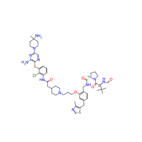 Cc1ncsc1Cc1ccc(CNC(=O)[C@@H]2CCCN2C(=O)[C@@H](NC=O)C(C)(C)C)c(OCCCN2CCC(CC(=O)Nc3cccc(Sc4ncc(N5CCC(C)(N)CC5)nc4N)c3Cl)CC2)c1